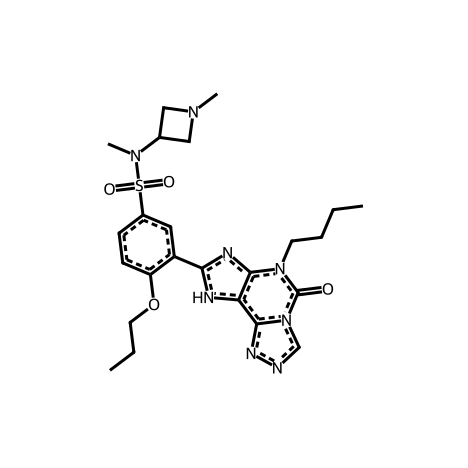 CCCCn1c(=O)n2cnnc2c2[nH]c(-c3cc(S(=O)(=O)N(C)C4CN(C)C4)ccc3OCCC)nc21